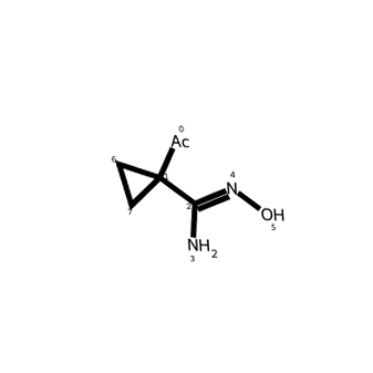 CC(=O)C1(/C(N)=N/O)CC1